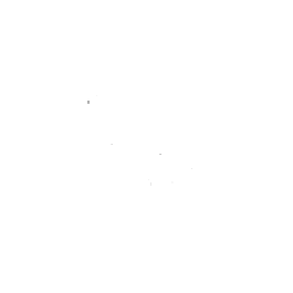 CCC(C)C1(C)COC(C2CC3CC2C2CC=CC32)OC1